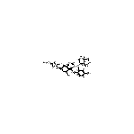 COC1CS(=O)(=Nc2cc(C)c3c(Nc4ccc(F)cc4O[C@@H]4CO[C@@H]5CCOC54)ncnc3c2)C1